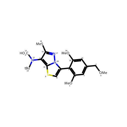 COCc1cc(OC)c(-c2csc3c(N(C(=O)O)C(C)(C)C)c(SC)nn23)c(OC)c1